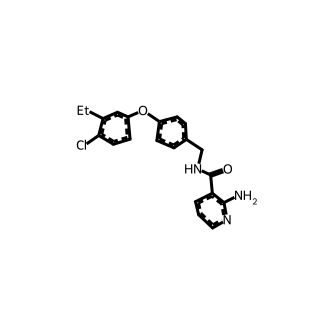 CCc1cc(Oc2ccc(CNC(=O)c3cccnc3N)cc2)ccc1Cl